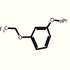 CCCOc1c[c]cc(OCC(F)(F)F)c1